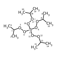 CC(C)O[O][Ti]([O]OC(C)C)([O]OC(C)C)[O]OC(C)C